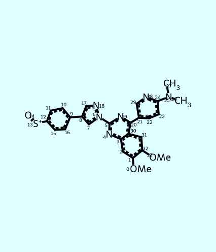 COc1cc2nc(-n3cc(-c4ccc([S+]=O)cc4)cn3)nc(-c3ccc(N(C)C)nc3)c2cc1OC